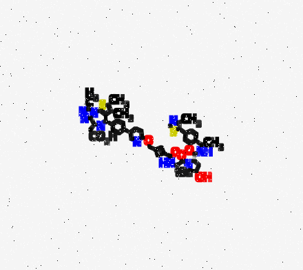 Cc1ncsc1-c1ccc(C(C)NC(=O)[C@@H]2C[C@@H](O)CN2C(=O)C(NC(=O)C23CC(COc4ccc(-c5ccc(C6=N[C@@H](CC(=O)O)c7nnc(C)n7-c7sc(C)c(C)c76)cc5)cn4)(C2)C3)C(C)(C)C)cc1